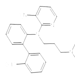 CN(C)CCCN(c1ccccc1-c1ccccc1C=O)c1ncccc1N